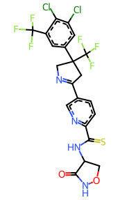 O=C1NOCC1NC(=S)c1ccc(C2=NCC(c3cc(Cl)c(Cl)c(C(F)(F)F)c3)(C(F)(F)F)C2)cn1